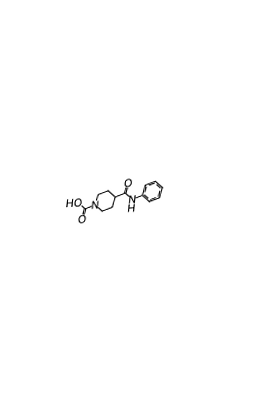 O=C(Nc1ccccc1)C1CCN(C(=O)O)CC1